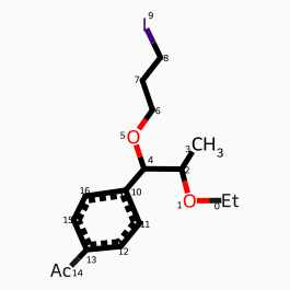 CCOC(C)C(OCCCI)c1ccc(C(C)=O)cc1